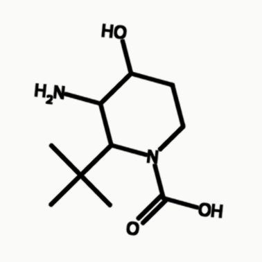 CC(C)(C)C1C(N)C(O)CCN1C(=O)O